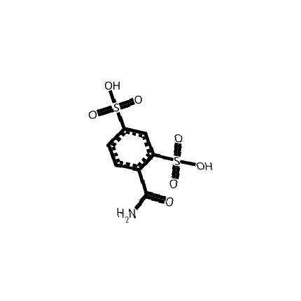 NC(=O)c1ccc(S(=O)(=O)O)cc1S(=O)(=O)O